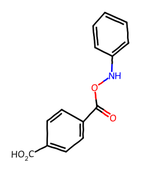 O=C(O)c1ccc(C(=O)ONc2ccccc2)cc1